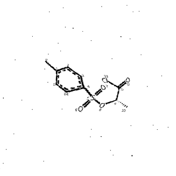 Cc1ccc(S(=O)(=O)O[C@@H](C)C(=O)Cl)cc1